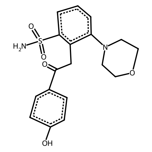 NS(=O)(=O)c1cccc(N2CCOCC2)c1CC(=O)c1ccc(O)cc1